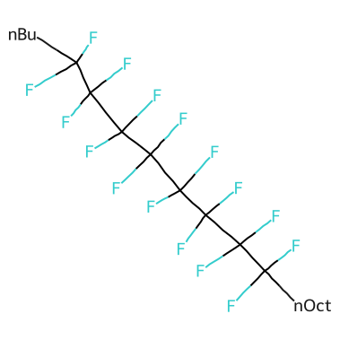 CCCCCCCCC(F)(F)C(F)(F)C(F)(F)C(F)(F)C(F)(F)C(F)(F)C(F)(F)C(F)(F)CCCC